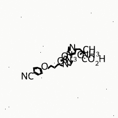 CC(C)(Cc1cc(N2CCN(CCCCCOc3ccc(C#N)cc3)S2(=O)=O)ccn1)NC(=O)O